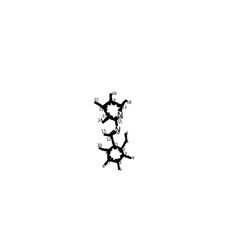 CCc1c(C)c(C)c(C)c(C)c1/C(C)=N/c1nc(C)c(C)c(C)c1C